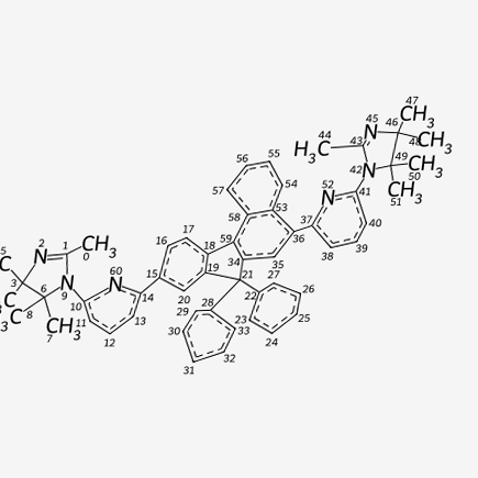 CC1=NC(C)(C)C(C)(C)N1c1cccc(-c2ccc3c(c2)C(c2ccccc2)(c2ccccc2)c2cc(-c4cccc(N5C(C)=NC(C)(C)C5(C)C)n4)c4ccccc4c2-3)n1